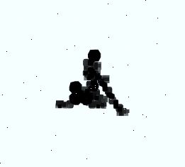 CCCOCCOCCOCCCNc1nc2c(NC(=O)c3ccccc3)ncnc2n1[C@H]1CC(O[Si](C)(C)C(C)(C)C)[C@@H](COC(c2ccccc2)(c2ccc(OC)cc2)c2ccc(OC)cc2)O1